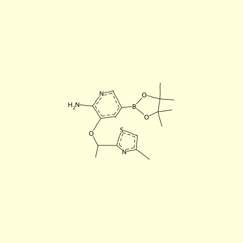 Cc1csc(C(C)Oc2cc(B3OC(C)(C)C(C)(C)O3)cnc2N)n1